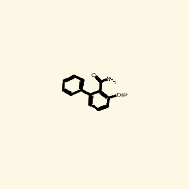 COc1[c]ccc(-c2ccccc2)c1C(N)=O